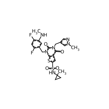 CNc1cc(Cn2c(=O)n(Cc3cnn(C)c3)c(=O)c3cc(S(=O)(=O)NC4(C)CC4)sc32)c(F)cc1F